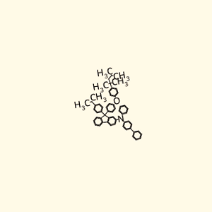 CC(C)CC(C)(C)c1ccc(Oc2ccc(C3(c4ccc(C(C)C)cc4)c4ccccc4-c4ccc(N(c5ccccc5)c5ccc(-c6ccccc6)cc5)cc43)cc2)cc1